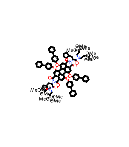 CO[Si](CCN(CC[Si](OC)(OC)OC)C(=O)C(CC1CCCC1)N1C(=O)c2cc(Oc3ccc(-c4ccccc4)cc3)c3c4c(Oc5ccc(-c6ccccc6)cc5)cc5c6c(cc(Oc7ccc(-c8ccccc8)cc7)c(c7c(Oc8ccc(-c9ccccc9)cc8)cc(c2c37)C1=O)c64)C(=O)N(C(CC1CCCC1)C(=O)N(CC[Si](OC)(OC)OC)CC[Si](OC)(OC)OC)C5=O)(OC)OC